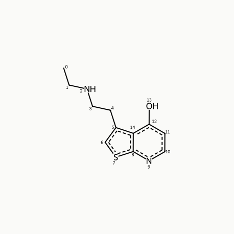 CCNCCc1csc2nccc(O)c12